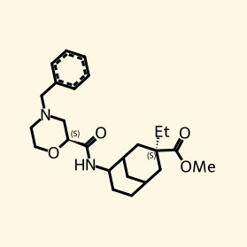 CC[C@]1(C(=O)OC)CC2CCC(NC(=O)[C@@H]3CN(Cc4ccccc4)CCO3)C(C2)C1